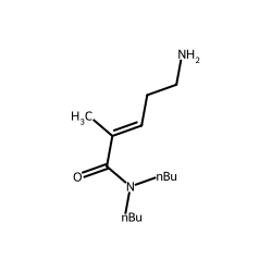 CCCCN(CCCC)C(=O)C(C)=CCCN